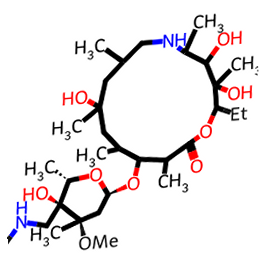 CCCNC[C@]1(O)[C@H](C)O[C@@H](OC2C(C)CC(C)(O)CC(C)CNC(C)C(O)C(C)(O)C(CC)OC(=O)C2C)C[C@@]1(C)OC